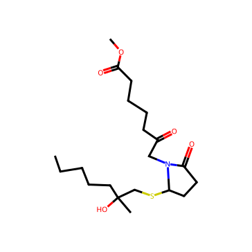 CCCCCC(C)(O)CSC1CCC(=O)N1CC(=O)CCCCC(=O)OC